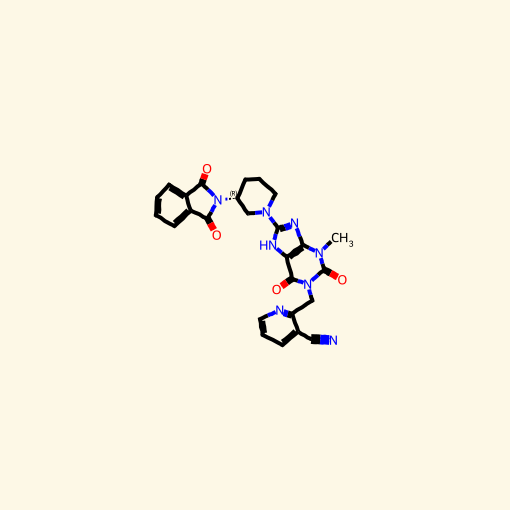 Cn1c(=O)n(Cc2ncccc2C#N)c(=O)c2[nH]c(N3CCC[C@@H](N4C(=O)c5ccccc5C4=O)C3)nc21